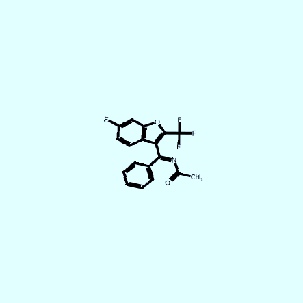 CC(=O)N=C(c1ccccc1)c1c(C(F)(F)F)oc2cc(F)ccc12